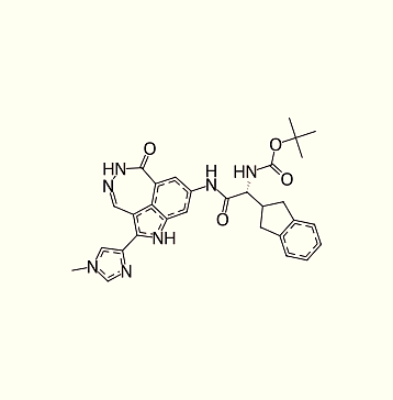 Cn1cnc(-c2[nH]c3cc(NC(=O)[C@H](NC(=O)OC(C)(C)C)C4Cc5ccccc5C4)cc4c3c2C=NNC4=O)c1